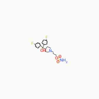 NS(=O)(=O)OCCCN1CCC(C(O)(c2ccc(F)cc2)c2ccc(F)cc2)CC1